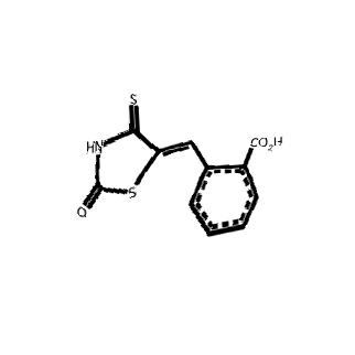 O=C1NC(=S)/C(=C/c2ccccc2C(=O)O)S1